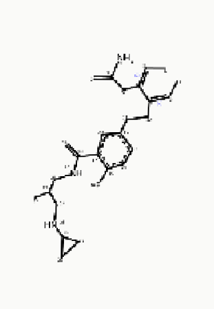 C=C(N)CC(=C/C)/C(=C\C)CCc1ccc(F)c(C(=C)NCC(C)CNC2CC2)c1